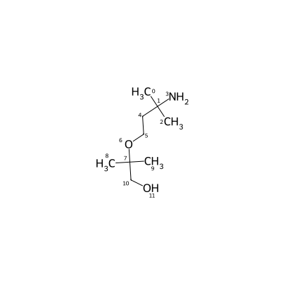 CC(C)(N)CCOC(C)(C)CO